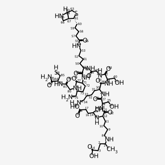 CC(CCC(=O)O)NCCCCC(NC(C)CCC(=O)O)C(=O)NC(CO)C(=O)NC(CCCCN)C(=O)NC(CO)C(=O)NCC(=O)NC(CCCCNC(=O)CCCC[C@H]1SC[C@@H]2NCC21)C(=O)NC(CCCCN)C(=O)NCC(=O)NC(CS)C(N)=O